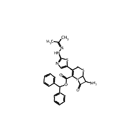 CC(C)=NNc1ncc(C2=C(C(=O)OC(c3ccccc3)c3ccccc3)N3C(=O)C(N)C3SC2)s1